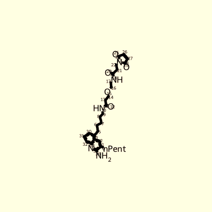 CCCCCc1cc2c(CCCCCNC(=O)CCOCCNC(=O)CCN3C(=O)C=CC3=O)cccc2nc1N